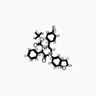 CC(C)(C)OC(=O)NC(C(=O)N(CCc1ccc(F)cc1)c1ccc2c(c1)CCO2)c1ccccc1